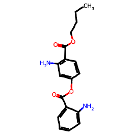 CCCCOC(=O)c1ccc(OC(=O)c2ccccc2N)cc1N